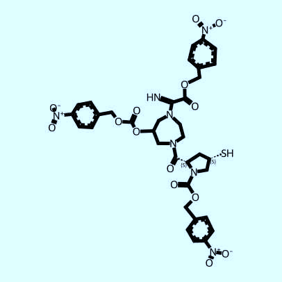 N=C(C(=O)OCc1ccc([N+](=O)[O-])cc1)N1CCN(C(=O)[C@@H]2C[C@H](S)CN2C(=O)OCc2ccc([N+](=O)[O-])cc2)CC(OC(=O)OCc2ccc([N+](=O)[O-])cc2)C1